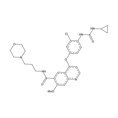 COc1cc2nccc(Oc3ccc(NC(=O)NC4CC4)c(Cl)c3)c2cc1C(=O)NCCCN1CCOCC1